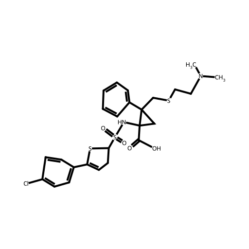 CN(C)CCSCC1(c2ccccc2)CC1(NS(=O)(=O)C1CC=C(c2ccc(Cl)cc2)S1)C(=O)O